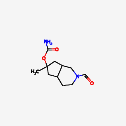 CC1(OC(N)=O)CC2CCN(C=O)CC2C1